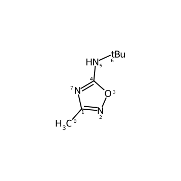 Cc1noc(NC(C)(C)C)n1